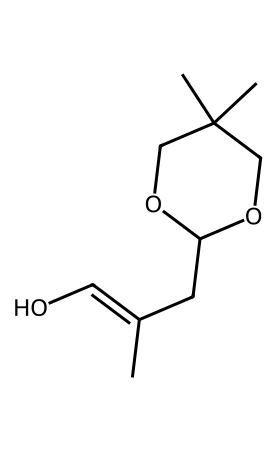 CC(=CO)CC1OCC(C)(C)CO1